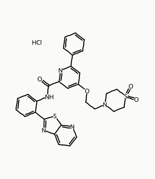 Cl.O=C(Nc1ccccc1-c1nc2cccnc2s1)c1cc(OCCN2CCS(=O)(=O)CC2)cc(-c2ccccc2)n1